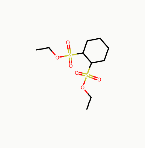 CCOS(=O)(=O)C1CCCCC1S(=O)(=O)OCC